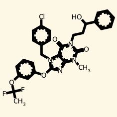 Cn1c(=O)n(CCC(O)c2ccccc2)c(=O)c2c1nc(Oc1cccc(OC(C)(F)F)c1)n2Cc1ccc(Cl)cc1